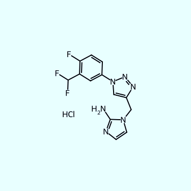 Cl.Nc1nccn1Cc1cn(-c2ccc(F)c(C(F)F)c2)nn1